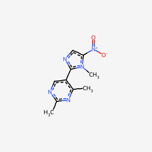 Cc1ncc(-c2ncc([N+](=O)[O-])n2C)c(C)n1